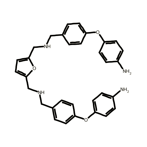 Nc1ccc(Oc2ccc(CNCc3ccc(CNCc4ccc(Oc5ccc(N)cc5)cc4)o3)cc2)cc1